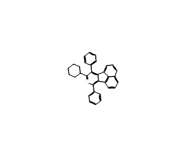 c1ccc(-c2nc(C3CCCCC3)c(-c3ccccc3)c3c2-c2cccc4cccc-3c24)cc1